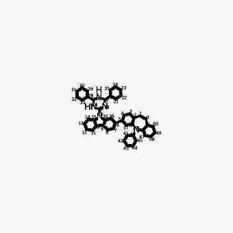 C1=Cc2ccc(-c3ccc4c5ccccc5n(C5=NC(c6ccccc6)NC(c6ccccc6)N5)c4c3)cc2N(c2ccccc2)c2ccccc21